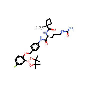 CCOC(=O)C1(C(=O)N[C@@H](CCCNC(N)=O)C(=O)Nc2ccc(COc3ccc(F)cc3B3OC(C)(C)C(C)(C)O3)cc2)CCC1